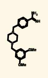 COc1cc(CN2CCN(Cc3ccc(C(=N)N)cc3)CC2)cc(OC)c1